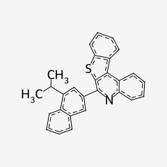 CC(C)c1cc(-c2nc3ccccc3c3c2sc2ccccc23)cc2ccccc12